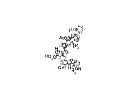 CC[C@H](C)[C@H](NC(=O)[C@H]1CCCCN1C)C(=O)N(C)C(C[C@@H](OC(C)=O)c1nc(C(=O)N[C@@H](Cc2ccc(OC(C)=O)c(NC(=O)C(C)(C)CO)c2)CC(C)C(=O)O)cs1)C(C)C